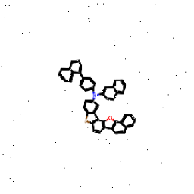 c1ccc2cc(N(c3ccc(-c4cccc5ccccc45)cc3)c3ccc4sc5ccc6c7ccc8ccccc8c7oc6c5c4c3)ccc2c1